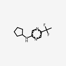 CC(F)(F)c1cnc(NC2CCCC2)cn1